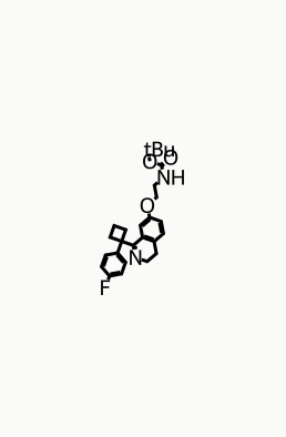 CC(C)(C)OC(=O)NCCOc1ccc2c(c1)C(C1(c3ccc(F)cc3)CCC1)=NCC2